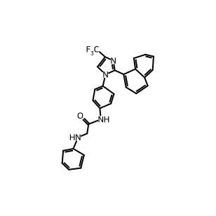 O=C(CNc1ccccc1)Nc1ccc(-n2cc(C(F)(F)F)nc2-c2cccc3ccccc23)cc1